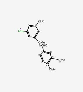 COc1cc(Cl)cc(C=O)c1.COc1ccc(C=O)cc1OC